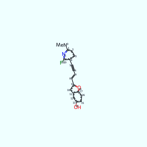 CNc1ccc(C#C/C=C/c2cc3cc(O)ccc3o2)c(F)n1